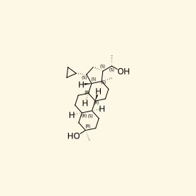 C[C@H](O)[C@H]1C[C@@H](C2CC2)[C@H]2[C@@H]3CC[C@@H]4C[C@](C)(O)CC[C@@H]4[C@H]3CC[C@@]21C